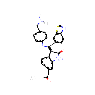 COC(=O)c1ccc2c(c1)NC(=O)C2=C(Nc1ccc(CN(C)C)cc1)c1ccc2ncsc2c1